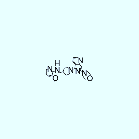 COc1cccnc1NCC1CCN(c2nc(N3CCOCC3)cc3ncccc23)CC1